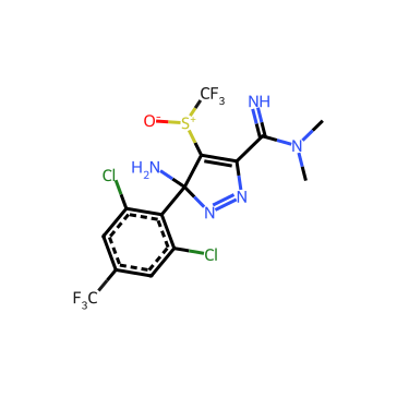 CN(C)C(=N)C1=C([S+]([O-])C(F)(F)F)C(N)(c2c(Cl)cc(C(F)(F)F)cc2Cl)N=N1